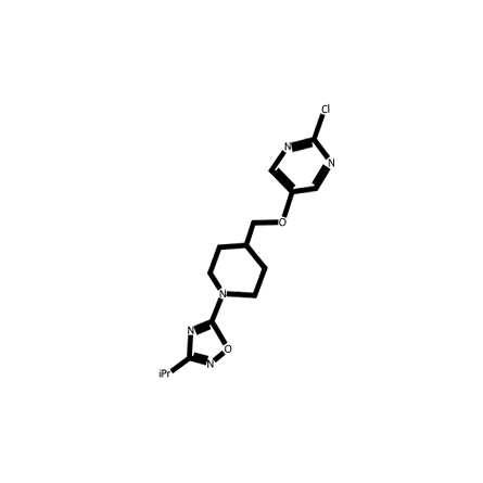 CC(C)c1noc(N2CCC(COc3cnc(Cl)nc3)CC2)n1